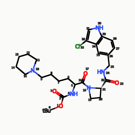 CC(C)(C)OC(=O)NC(CCCCN1CCCCC1)C(=O)N1CC[C@H]1C(=O)NCc1ccc2[nH]cc(Cl)c2c1